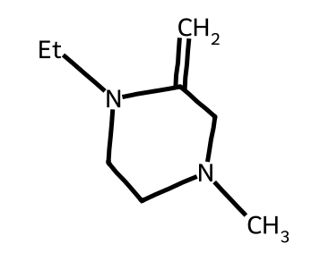 C=C1CN(C)CCN1CC